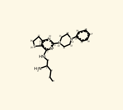 CCCC(N)CNc1nc(N2CCN(c3ccccc3)CC2)nc2c1SCC2